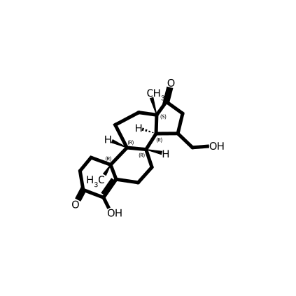 C[C@]12CCC(=O)C(O)=C1CC[C@@H]1[C@H]2CC[C@]2(C)C(=O)CC(CO)[C@@H]12